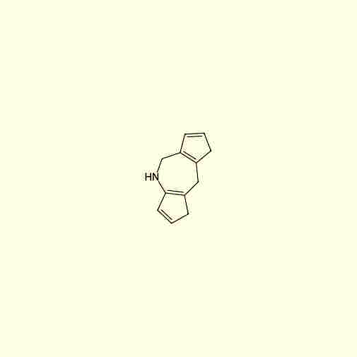 C1=CC2=C(C1)CC1=C(C=CC1)NC2